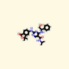 CC(C)NC(=O)c1cnc(Nc2ccc3c(c2)C(C)(C)OC3=O)nc1NC(CO)c1ccccc1